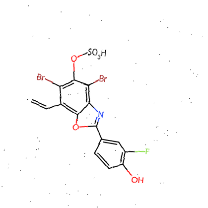 C=Cc1c(Br)c(OS(=O)(=O)O)c(Br)c2nc(-c3ccc(O)c(F)c3)oc12